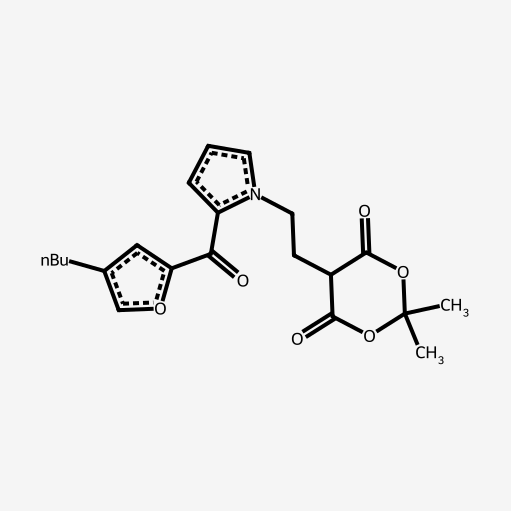 CCCCc1coc(C(=O)c2cccn2CCC2C(=O)OC(C)(C)OC2=O)c1